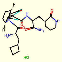 Cl.NC(=O)[C@H](C[C@@H]1CCCNC1=O)NC(=O)[C@H]1[C@@H]2CC[C@@H](CC2(F)F)N1C(=O)[C@@H](N)CC1CCC1